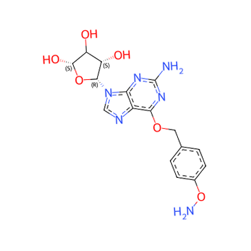 NOc1ccc(COc2nc(N)nc3c2ncn3[C@@H]2O[C@H](O)C(O)[C@@H]2O)cc1